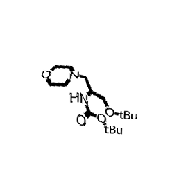 CC(C)(C)OCC(CN1CCOCC1)NC(=O)OC(C)(C)C